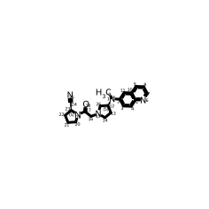 CN(c1ccc2ncccc2c1)[C@H]1CCN(CC(=O)N2CCC[C@H]2C#N)C1